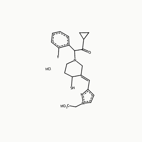 Cl.O=C(O)Cn1ccc(C=C2CN(C(C(=O)C3CC3)c3ccccc3F)CCC2S)n1